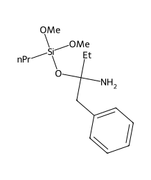 CCC[Si](OC)(OC)OC(N)(CC)Cc1ccccc1